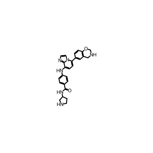 O=C(NC1CCNC1)c1ccc(Nc2ccc(-c3ccc4c(c3)CNCO4)n3ccnc23)cc1